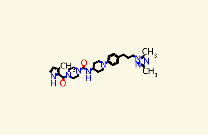 Cc1nc(C)n(CCCc2ccc(N3CCC(NC(=O)N4CCN(C(=O)c5[nH]ccc5C)CC4)CC3)cc2)n1